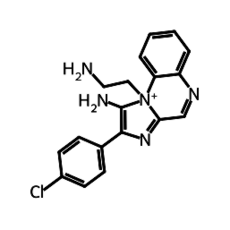 NCC[N+]12C(=NC(c3ccc(Cl)cc3)=C1N)C=Nc1ccccc12